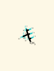 CC(F)(F)C(F)(C(F)(F)F)C(F)(F)F